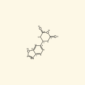 O=C1CC(c2ccc3ncoc3c2)CC(=O)O1